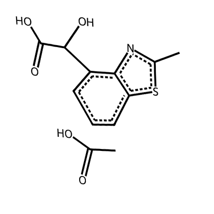 CC(=O)O.Cc1nc2c(C(O)C(=O)O)cccc2s1